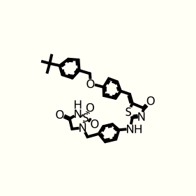 CC(C)(C)c1ccc(COc2ccc(/C=C3\SC(Nc4ccc(CN5CC(=O)NS5(=O)=O)cc4)=NC3=O)cc2)cc1